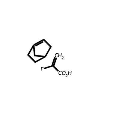 C1=C2CCC(C1)C2.C=C(F)C(=O)O